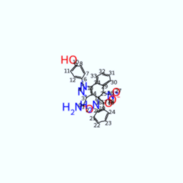 NC(=O)c1nn(-c2ccc(O)cc2)c2c1C(N)(C(=O)c1ccccc1)C([N+](=O)[O-])c1ccccc1-2